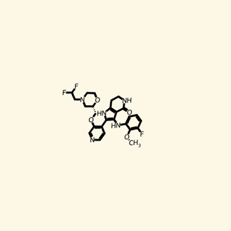 COc1c(F)cccc1Nc1c(-c2ccncc2OC[C@@H]2CN(CC(F)F)CCO2)[nH]c2c1C(=O)NCC2